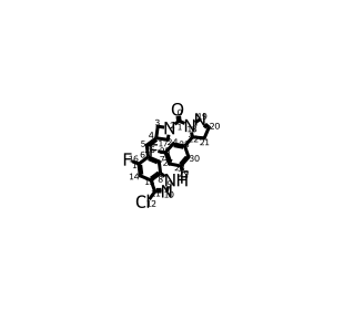 O=C(N1CC(=Cc2cc3[nH]nc(Cl)c3cc2F)C1)N1N=CCC1c1cc(F)cc(F)c1